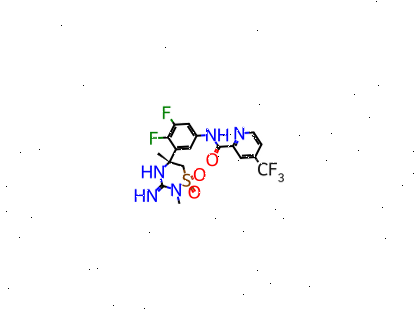 CN1C(=N)N[C@](C)(c2cc(NC(=O)c3cc(C(F)(F)F)ccn3)cc(F)c2F)CS1(=O)=O